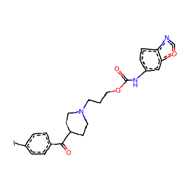 O=C(Nc1ccc2ncoc2c1)OCCCN1CCC(C(=O)c2ccc(I)cc2)CC1